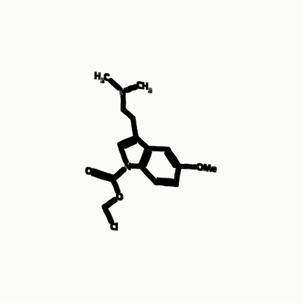 COc1ccc2c(c1)c(CCN(C)C)cn2C(=O)OCCl